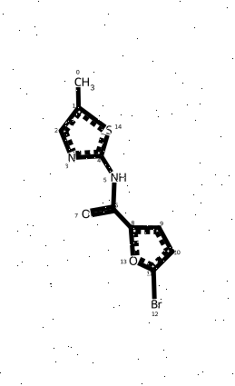 Cc1cnc(NC(=O)c2ccc(Br)o2)s1